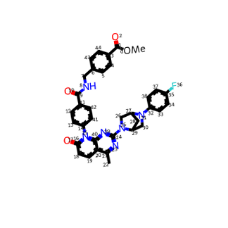 COC(=O)c1ccc(CNC(=O)c2ccc(-n3c(=O)ccc4c(C)nc(N5CC6CC5CN6c5ccc(F)cc5)nc43)cc2)cc1